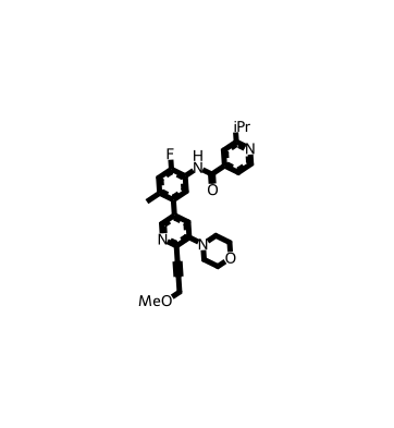 COCC#Cc1ncc(-c2cc(NC(=O)c3ccnc(C(C)C)c3)c(F)cc2C)cc1N1CCOCC1